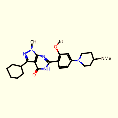 CCOc1cc(N2CCC(NC)CC2)ccc1-c1nc2c(c(C3CCCCC3)nn2C)c(=O)[nH]1